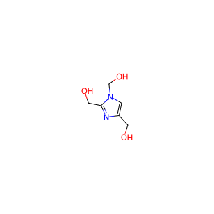 OCc1cn(CO)c(CO)n1